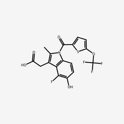 Cc1c(CC(=O)O)c2c(F)c(O)ccc2n1C(=O)c1ccc(OC(F)(F)F)s1